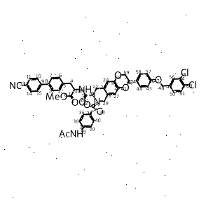 COC(=O)C(Cc1ccc(-c2ccc(C#N)cc2)cc1)NC(=O)[C@@H]1Cc2cc3c(cc2CN1S(=O)(=O)c1ccc(NC(C)=O)cc1)O[C@@H](c1ccc(OCc2ccc(Cl)c(Cl)c2)cc1)CO3